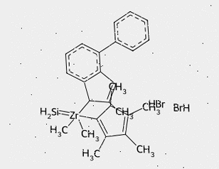 Br.Br.CC1=Cc2c(-c3ccccc3)cccc2[CH]1[Zr]([CH3])([CH3])(=[SiH2])[C]1=C(C)C(C)=C(C)C1C